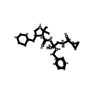 CC1(C)OCC(CC2CCCCC2)N1C(=O)OC(O)(CNC(=O)C1CC1)OCc1ccccc1